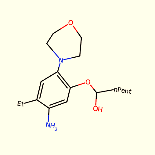 CCCCCC(O)Oc1cc(N)c(CC)cc1N1CCOCC1